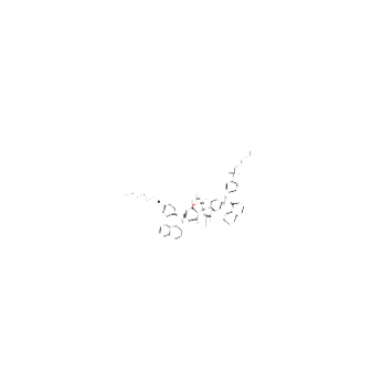 CCCCCCCC(C)(C)c1ccc(N(c2ccc(C(c3ccc(N(c4ccc(C(C)(C)CCCCC)cc4)c4cccc5ccccc45)cc3)(C(F)(F)F)C(F)(F)F)cc2)c2cccc3ccccc23)cc1